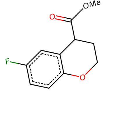 COC(=O)C1CCOc2ccc(F)cc21